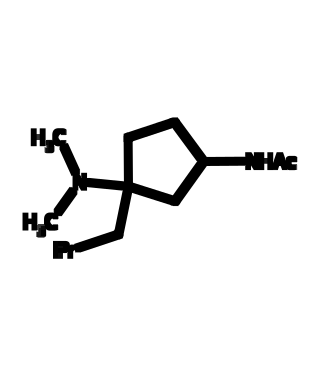 CC(=O)NC1CCC(CC(C)C)(N(C)C)C1